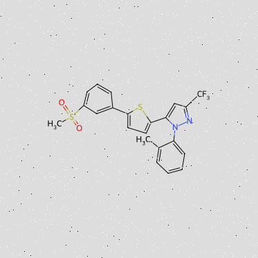 Cc1ccccc1-n1nc(C(F)(F)F)cc1-c1ccc(-c2cccc(S(C)(=O)=O)c2)s1